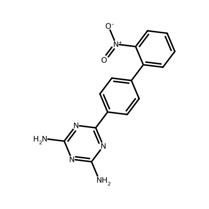 Nc1nc(N)nc(-c2ccc(-c3ccccc3[N+](=O)[O-])cc2)n1